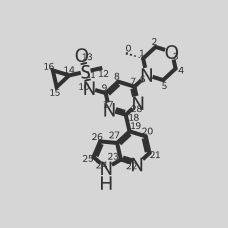 C[C@@H]1COCCN1c1cc(N=S(C)(=O)C2CC2)nc(-c2ccnc3[nH]ccc23)n1